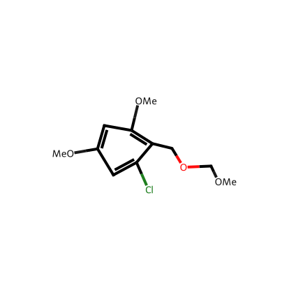 COCOCc1c(Cl)cc(OC)cc1OC